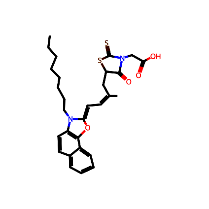 CCCCCCCCN1C(=CC=C(C)CC2SC(=S)N(CC(=O)O)C2=O)Oc2c1ccc1ccccc21